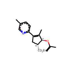 C=C(C)O[C@@H]1C(C)=C(c2ccc(C)cn2)C[C@H]1C(=O)OCC